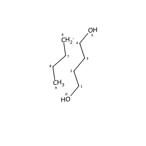 OCCCCO.[CH2]CCC